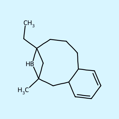 CCC12BC(C)(CC3C=CC=CC3CCC1)C2